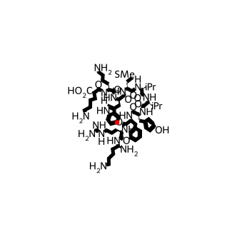 CSCC[C@@H](NC(=O)[C@@H](Cc1c[nH]c2ccccc12)NC(=O)[C@@H](CCCCN)NC(=O)[C@@H](CCCCN)C(=O)O)C(=O)N[C@@H](C(=O)N[C@@H](C(=O)N[C@H](Cc1ccc(O)cc1)C(=O)NC(Cc1ccccc1)C(=O)N[C@H](CCCNC(=N)N)C(=O)N[C@@H](N)CCCCN)C(C)C)C(C)C